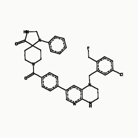 O=C(c1ccc(-c2cnc3c(c2)N(Cc2cc(Cl)ccc2CF)CCN3)cc1)N1CCC2(CC1)C(=O)NCN2c1ccccc1